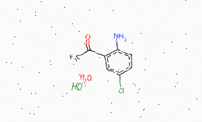 Cl.Nc1ccc(Cl)cc1C(=O)C(F)(F)F.O